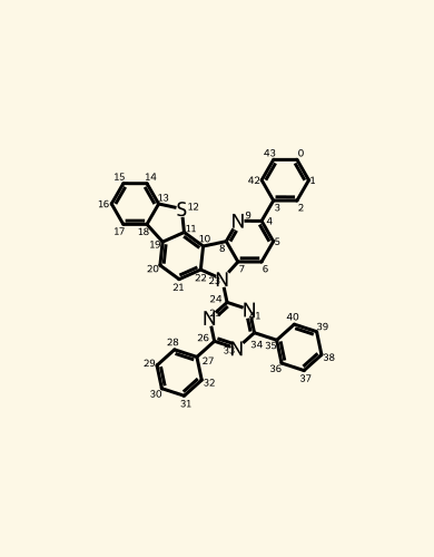 c1ccc(-c2ccc3c(n2)c2c4sc5ccccc5c4ccc2n3-c2nc(-c3ccccc3)nc(-c3ccccc3)n2)cc1